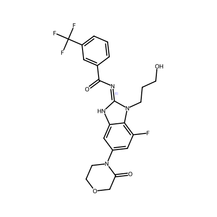 O=C(/N=c1\[nH]c2cc(N3CCOCC3=O)cc(F)c2n1CCCO)c1cccc(C(F)(F)F)c1